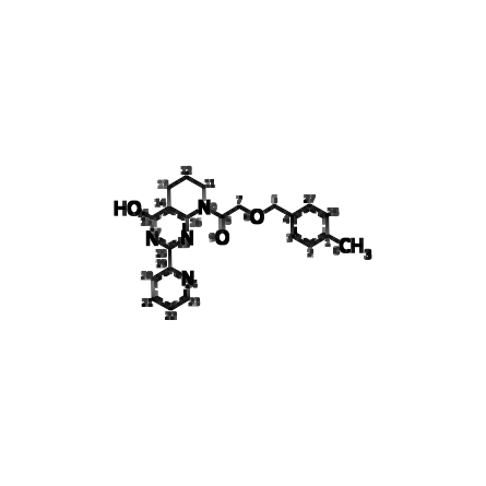 Cc1ccc(COCC(=O)N2CCCc3c(O)nc(-c4ccccn4)nc32)cc1